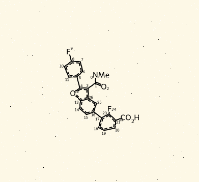 CNC(=O)c1c(-c2ccc(F)cc2)oc2ccc(-c3cccc(C(=O)O)c3F)cc12